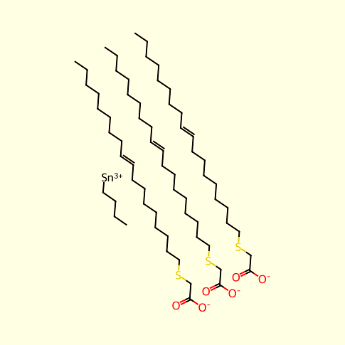 CCCCCCCCC=CCCCCCCCCSCC(=O)[O-].CCCCCCCCC=CCCCCCCCCSCC(=O)[O-].CCCCCCCCC=CCCCCCCCCSCC(=O)[O-].CCC[CH2][Sn+3]